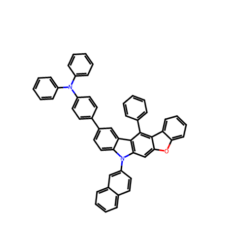 c1ccc(-c2c3c(cc4c2c2cc(-c5ccc(N(c6ccccc6)c6ccccc6)cc5)ccc2n4-c2ccc4ccccc4c2)oc2ccccc23)cc1